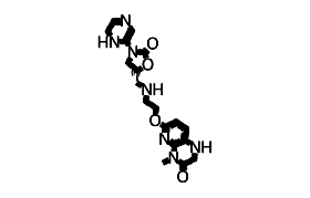 CN1C(=O)CNc2ccc(OCCNC[C@@H]3CN(C4=CN=CCN4)C(=O)O3)nc21